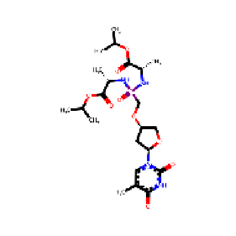 Cc1cn([C@H]2C[C@@H](OCP(=O)(N[C@@H](C)C(=O)OC(C)C)N[C@@H](C)C(=O)OC(C)C)CO2)c(=O)[nH]c1=O